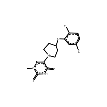 Cn1nc(N2CCC(Oc3cc(Cl)ccc3Cl)CC2)c(=O)[nH]c1=O